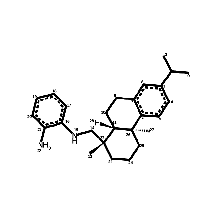 CC(C)c1ccc2c(c1)CC[C@H]1[C@@](C)(CNc3ccccc3N)CCC[C@]21C